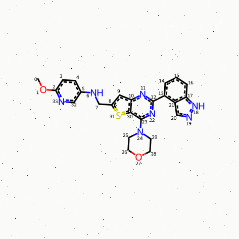 COc1ccc(NCc2cc3nc(-c4cccc5[nH]ncc45)nc(N4CCOCC4)c3s2)cn1